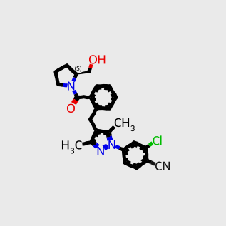 Cc1nn(-c2ccc(C#N)c(Cl)c2)c(C)c1Cc1ccccc1C(=O)N1CCC[C@H]1CO